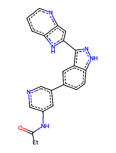 CCC(=O)Nc1cncc(-c2ccc3[nH]nc(-c4cc5ncccc5[nH]4)c3c2)c1